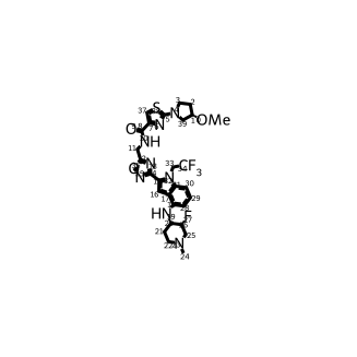 CO[C@@H]1CCN(c2nc(C(=O)NCc3nc(-c4cc5c(N[C@@H]6CCN(C)C[C@@H]6F)cccc5n4CC(F)(F)F)no3)cs2)C1